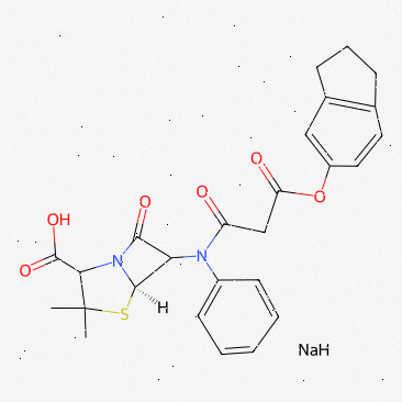 CC1(C)S[C@@H]2C(N(C(=O)CC(=O)Oc3ccc4c(c3)CCC4)c3ccccc3)C(=O)N2C1C(=O)O.[NaH]